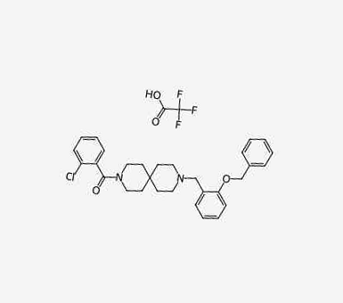 O=C(O)C(F)(F)F.O=C(c1ccccc1Cl)N1CCC2(CCN(Cc3ccccc3OCc3ccccc3)CC2)CC1